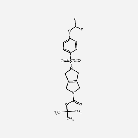 CC(C)(C)OC(=O)N1CC2=C(C1)CN(S(=O)(=O)c1ccc(OC(F)F)cc1)C2